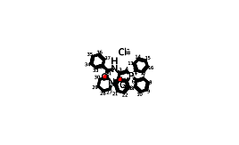 O=C(NC(=C[P+](c1ccccc1)(c1ccccc1)c1ccccc1)C(=O)N1CCCCC1)c1ccccc1.[Cl-]